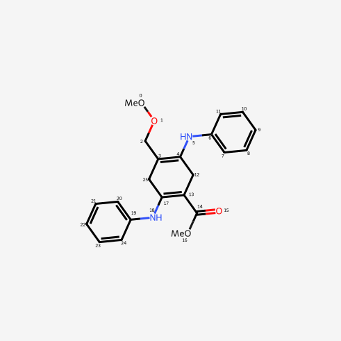 COOCC1=C(Nc2ccccc2)CC(C(=O)OC)=C(Nc2ccccc2)C1